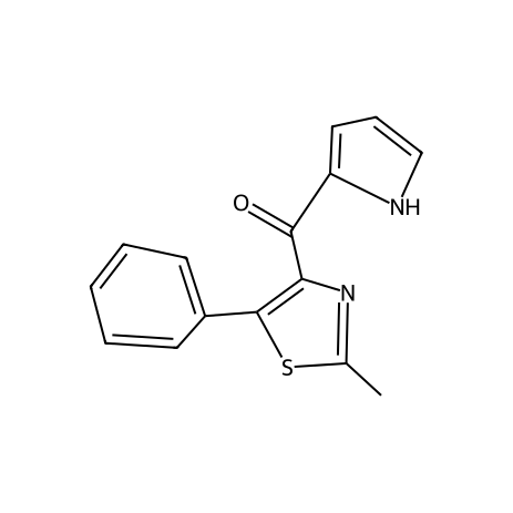 Cc1nc(C(=O)c2ccc[nH]2)c(-c2ccccc2)s1